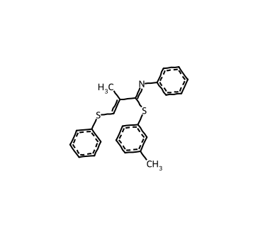 CC(=C\Sc1ccccc1)/C(=N/c1ccccc1)Sc1cccc(C)c1